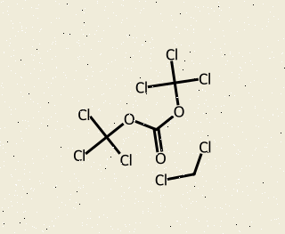 ClCCl.O=C(OC(Cl)(Cl)Cl)OC(Cl)(Cl)Cl